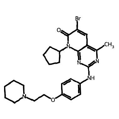 Cc1nc(Nc2ccc(OCCN3CCCCC3)cc2)nc2c1cc(Br)c(=O)n2C1CCCC1